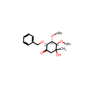 CCCCO[C@@H]1[C@@H](OCCCC)C(C)(O)CC(=O)[C@@H]1OCc1ccccc1